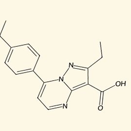 CCc1ccc(-c2ccnc3c(C(=O)O)c(CC)nn23)cc1